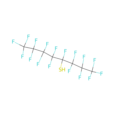 FC(F)(F)C(F)(F)C(F)(F)C(F)(F)C(F)(S)C(F)(F)C(F)(F)C(F)(F)F